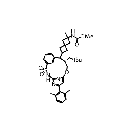 COC(=O)NC1(C)CC2(CC(C3c4cccc(c4)S(=O)(=O)Nc4nc(cc(-c5c(C)cccc5C)n4)OC[C@H]3CC(C)(C)C)C2)C1